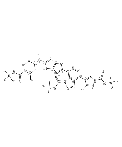 Cc1nn(C(=O)OC(C)(C)C)cc1-c1cnc(-c2nc3sc(N(C)[C@H]4CCN(C(=O)OC(C)(C)C)[C@H](C)C4)nc3s2)c2c1ccn2C(=O)OC(C)(C)C